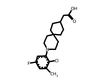 Cc1cc(F)cc(N2CCC3(CCC(CC(=O)O)CC3)CC2)c1Cl